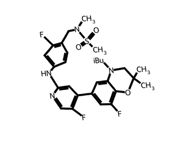 CCC(C)N1CC(C)(C)Oc2c(F)cc(-c3cc(Nc4ccc(CN(C)S(C)(=O)=O)c(F)c4)ncc3F)cc21